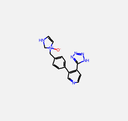 [O-][N+]1(Cc2ccc(-c3cnccc3-c3nnn[nH]3)cc2)C=CNC1